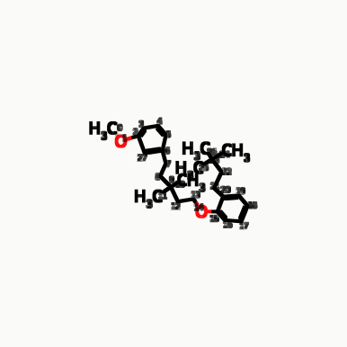 COc1cccc(CCC(C)(C)CCOc2ccccc2CCC(C)(C)C)c1